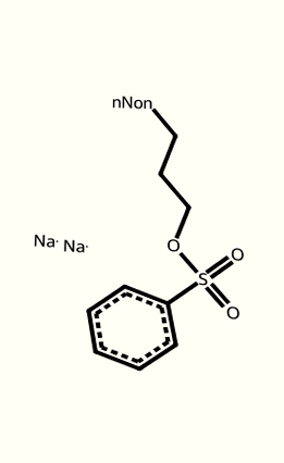 CCCCCCCCCCCCOS(=O)(=O)c1ccccc1.[Na].[Na]